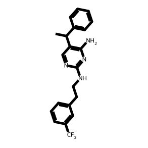 CC(c1ccccc1)c1cnc(NCCc2cccc(C(F)(F)F)c2)nc1N